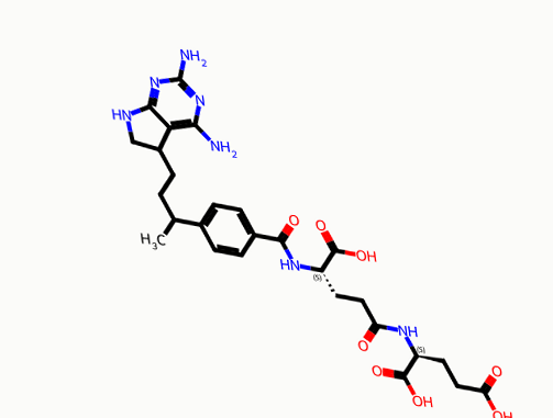 CC(CCC1CNc2nc(N)nc(N)c21)c1ccc(C(=O)N[C@@H](CCC(=O)N[C@@H](CCC(=O)O)C(=O)O)C(=O)O)cc1